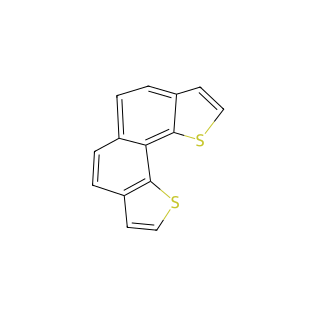 c1cc2ccc3ccc4ccsc4c3c2s1